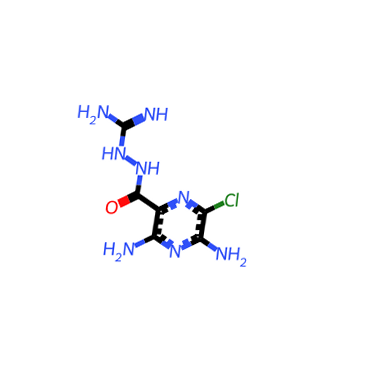 N=C(N)NNC(=O)c1nc(Cl)c(N)nc1N